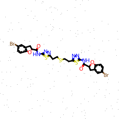 O=C(Nc1nnc(CCSCCc2nnc(NC(=O)C3Cc4cc(Br)ccc4O3)s2)s1)C1Cc2cc(Br)ccc2O1